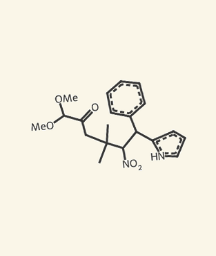 COC(OC)C(=O)CC(C)(C)C(C(c1ccccc1)c1ccc[nH]1)[N+](=O)[O-]